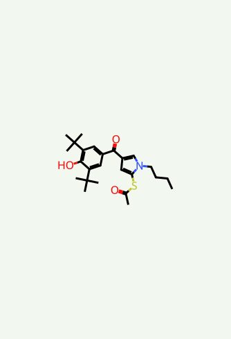 CCCCn1cc(C(=O)c2cc(C(C)(C)C)c(O)c(C(C)(C)C)c2)cc1SC(C)=O